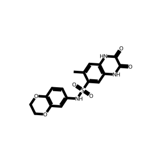 Cc1cc2[nH]c(=O)c(=O)[nH]c2cc1S(=O)(=O)Nc1ccc2c(c1)OCCO2